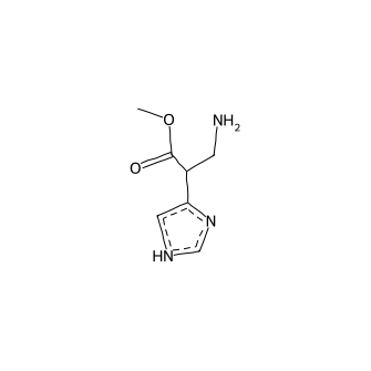 COC(=O)C(CN)c1c[nH]cn1